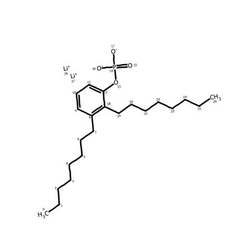 CCCCCCCCc1cccc(OP(=O)([O-])[O-])c1CCCCCCCC.[Li+].[Li+]